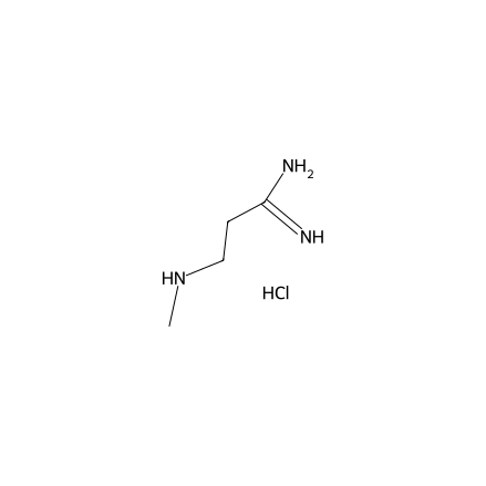 CNCCC(=N)N.Cl